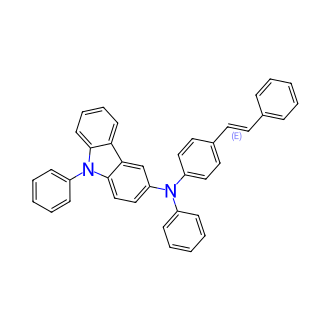 C(=C\c1ccc(N(c2ccccc2)c2ccc3c(c2)c2ccccc2n3-c2ccccc2)cc1)/c1ccccc1